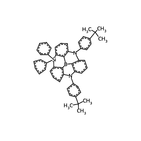 CC(C)(C)c1ccc(N2c3cccc4c3B3c5c2cccc5[Si](c2ccccc2)(c2ccccc2)c2cccc(c23)N4c2ccc(C(C)(C)C)cc2)cc1